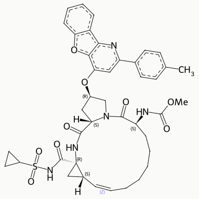 COC(=O)N[C@H]1CCCCC/C=C\[C@@H]2C[C@@]2(C(=O)NS(=O)(=O)C2CC2)NC(=O)[C@@H]2C[C@@H](Oc3cc(-c4ccc(C)cc4)nc4c3oc3ccccc34)CN2C1=O